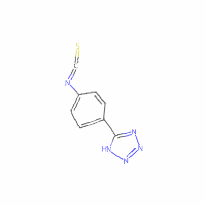 S=C=Nc1ccc(-c2nnn[nH]2)cc1